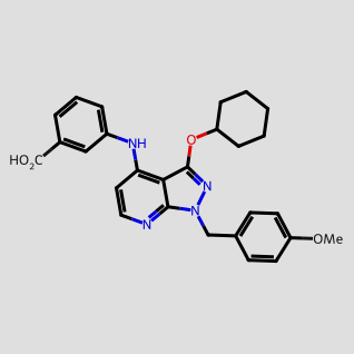 COc1ccc(Cn2nc(OC3CCCCC3)c3c(Nc4cccc(C(=O)O)c4)ccnc32)cc1